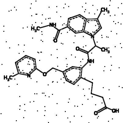 CNC(=O)c1ccc2c(C)cn(C(C)C(=O)Nc3cc(COc4cccc(C)n4)ccc3CCCC(=O)O)c2c1